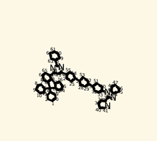 C1=CCCC(C2(c3ccccc3)c3ccccc3-c3c(-c4cc(-c5ccc(-c6ccc(-c7ccc(-n8c(-c9ccccn9)nc9ccccc98)cc7)cc6)cc5)nc(-c5ccccc5)n4)cccc32)=C1